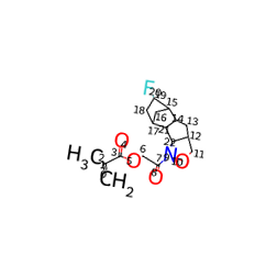 C=C(C)C(=O)OCC(=O)N1OCC2CC3C4CC(CC4F)C3C21